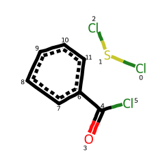 ClSCl.O=C(Cl)c1ccccc1